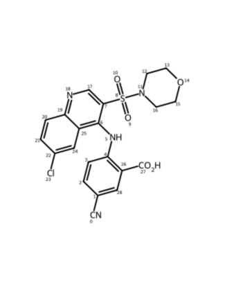 N#Cc1ccc(Nc2c(S(=O)(=O)N3CCOCC3)cnc3ccc(Cl)cc23)c(C(=O)O)c1